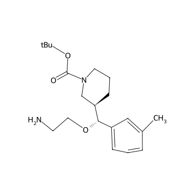 Cc1cccc([C@H](OCCN)[C@@H]2CCCN(C(=O)OC(C)(C)C)C2)c1